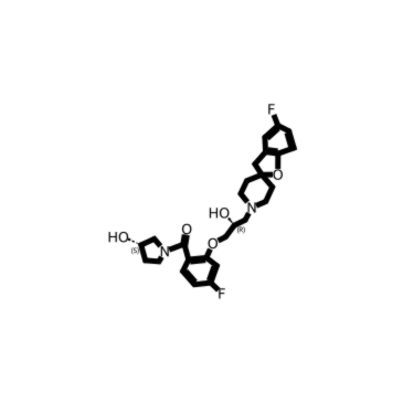 O=C(c1ccc(F)cc1OC[C@H](O)CN1CCC2(CC1)Cc1cc(F)ccc1O2)N1CC[C@H](O)C1